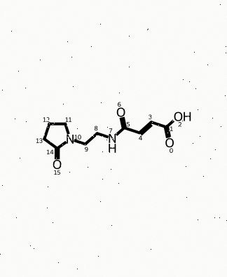 O=C(O)C=CC(=O)NCCN1CCCC1=O